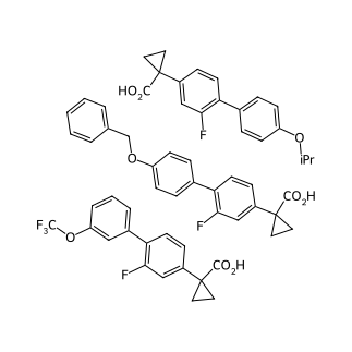 CC(C)Oc1ccc(-c2ccc(C3(C(=O)O)CC3)cc2F)cc1.O=C(O)C1(c2ccc(-c3ccc(OCc4ccccc4)cc3)c(F)c2)CC1.O=C(O)C1(c2ccc(-c3cccc(OC(F)(F)F)c3)c(F)c2)CC1